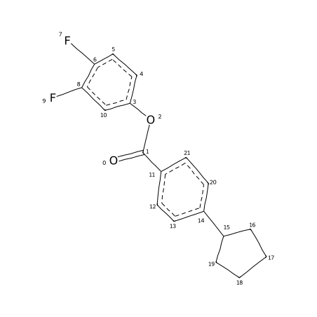 O=C(Oc1ccc(F)c(F)c1)c1ccc(C2CCCC2)cc1